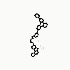 C=C(/C=C\c1sc2ccc(-c3ccc4c(c3)c3ccccc3c3cc5sc6ccccc6c5cc43)cc2c1C)c1ccc2c(c1)C(C)(C)c1ccc3ccccc3c1-2